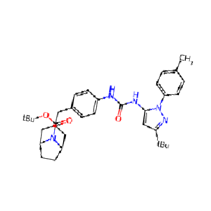 Cc1ccc(-n2nc(C(C)(C)C)cc2NC(=O)Nc2ccc(CC3CC4CCC(C3)N4C(=O)OC(C)(C)C)cc2)cc1